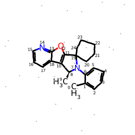 Cc1ccccc1N1[C@@H](C)c2c(oc3ncccc23)C12CCCCC2